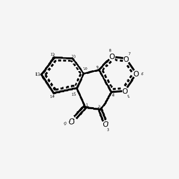 O=C1C(=O)c2ooooc2-c2ccccc21